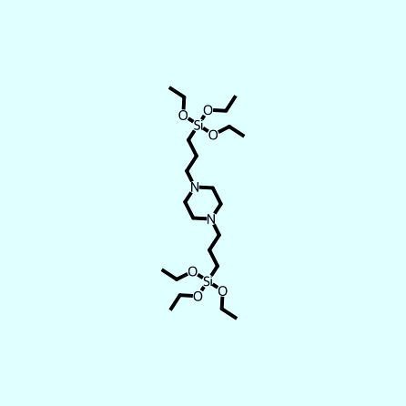 CCO[Si](CCCN1CCN(CCC[Si](OCC)(OCC)OCC)CC1)(OCC)OCC